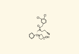 N#CCCN(C[C@@H](c1ccccc1)N1CC[C@H](O)C1)C(=O)Cc1ccc(Cl)c(Cl)c1